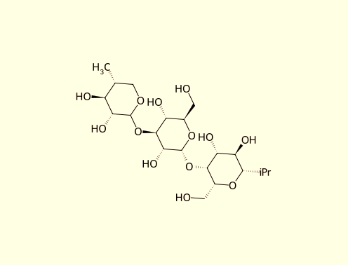 CC(C)[C@@H]1O[C@H](CO)[C@H](O[C@H]2O[C@H](CO)[C@@H](O)[C@H](OC3OC[C@@H](C)[C@H](O)[C@H]3O)[C@H]2O)[C@H](O)[C@H]1O